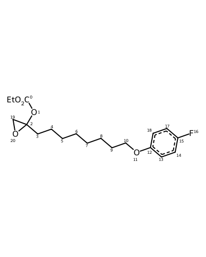 CCOC(=O)OC1(CCCCCCCCOc2ccc(F)cc2)CO1